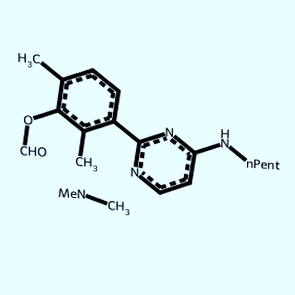 CCCCCNc1ccnc(-c2ccc(C)c(OC=O)c2C)n1.CNC